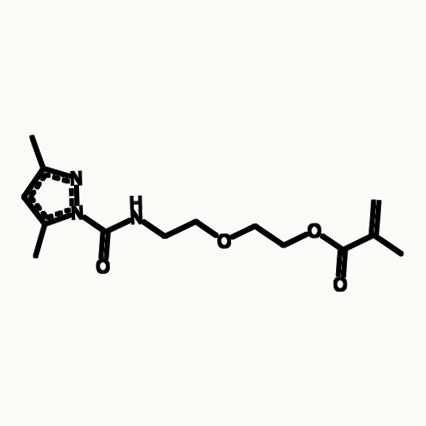 C=C(C)C(=O)OCCOCCNC(=O)n1nc(C)cc1C